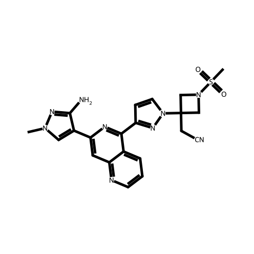 Cn1cc(-c2cc3ncccc3c(-c3ccn(C4(CC#N)CN(S(C)(=O)=O)C4)n3)n2)c(N)n1